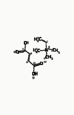 CC[N+](C)(C)C.O=C([O-])/C=C/C(=O)O